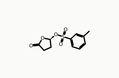 Cc1cccc(S(=O)(=O)O[C@H]2CCC(=O)O2)c1